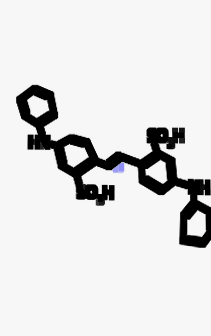 O=S(=O)(O)c1cc(Nc2ccccc2)ccc1/C=C/c1ccc(Nc2ccccc2)cc1S(=O)(=O)O